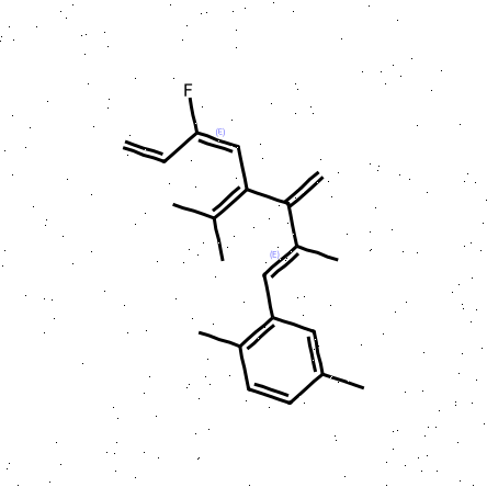 C=C/C(F)=C\C(C(=C)/C(C)=C/c1cc(C)ccc1C)=C(C)C